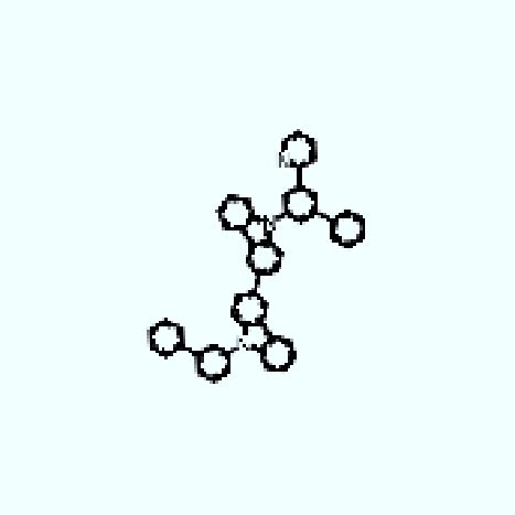 c1ccc(-c2cccc(-n3c4ccccc4c4cc(-c5ccc6c(c5)c5ccccc5n6-c5cc(-c6ccccc6)cc(-c6ccccn6)c5)ccc43)c2)cc1